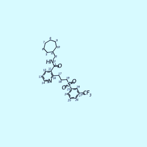 O=C(NCC1CCCCCC1)c1cccnc1CCCS(=O)(=O)c1cccc(C(F)(F)F)c1